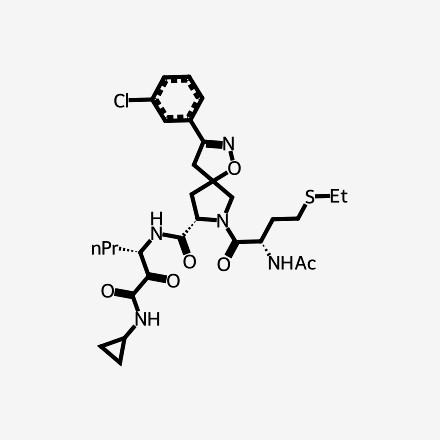 CCC[C@H](NC(=O)[C@@H]1CC2(CC(c3cccc(Cl)c3)=NO2)CN1C(=O)[C@H](CCSCC)NC(C)=O)C(=O)C(=O)NC1CC1